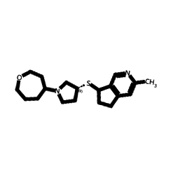 Cc1cc2c(cn1)C(S[C@@H]1CCN(C3CCCOCC3)C1)CC2